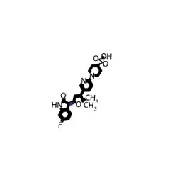 CC1(C)O/C(=C2/C(=O)Nc3cc(F)ccc32)C=C1c1ccc(N2CCC(S(=O)(=O)O)CC2)nc1